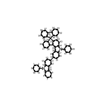 c1ccc(-n2c3ccccc3c3cc(-c4ccc5c(c4)c4cc(C6(c7ccccc7)c7ccccc7-c7ccccc76)ccc4n5-c4ccccc4)ccc32)cc1